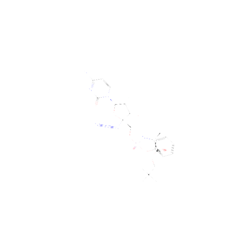 C[C@H](NP(=O)(OC[C@@]1(N=[N+]=[N-])O[C@@H](n2ccc(N)nc2=O)[C@H](F)[C@@H]1O)Oc1ccccc1)C(=O)OCC(C)(C)C